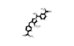 N=C(N)c1ccc(Cc2cn(C(O)c3cccc(C(=N)N)c3)cc2C(=O)O)cc1